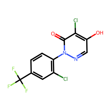 O=c1c(Cl)c(O)cnn1-c1ccc(C(F)(F)F)cc1Cl